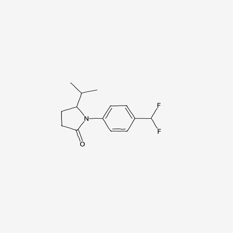 CC(C)C1CCC(=O)N1c1ccc(C(F)F)cc1